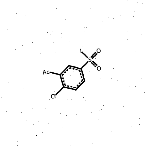 CC(=O)c1cc(S(=O)(=O)I)ccc1Cl